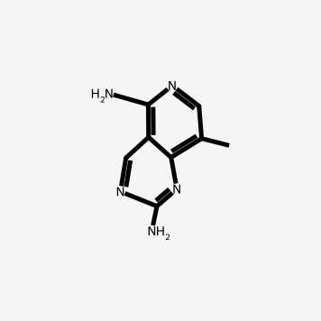 Cc1cnc(N)c2cnc(N)nc12